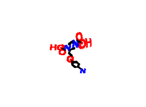 N#Cc1ccc(OCC[C@@H]2CN(C(=O)O)CCN2C(=O)O)cc1